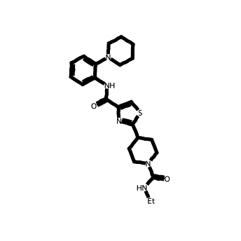 CCNC(=O)N1CCC(c2nc(C(=O)Nc3ccccc3N3CCCCC3)cs2)CC1